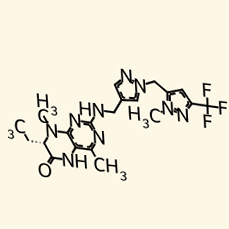 CC[C@H]1C(=O)Nc2c(C)nc(NCc3cnn(Cc4cc(C(F)(F)F)nn4C)c3)nc2N1C